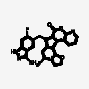 Nc1n[nH]c2cc(F)c(Cn3c4cc(F)c5ccoc5c4c4c5cccnc5oc(=O)c43)cc12